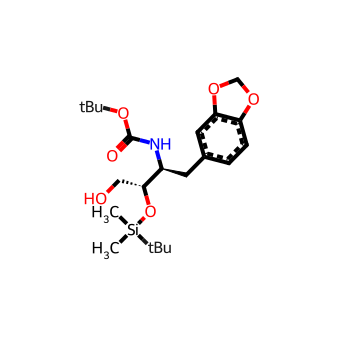 CC(C)(C)OC(=O)N[C@@H](Cc1ccc2c(c1)OCO2)[C@@H](CO)O[Si](C)(C)C(C)(C)C